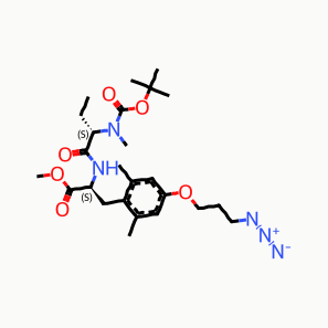 CC[C@@H](C(=O)N[C@@H](Cc1c(C)cc(OCCCN=[N+]=[N-])cc1C)C(=O)OC)N(C)C(=O)OC(C)(C)C